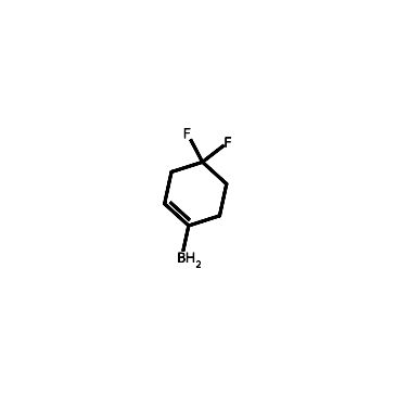 BC1=CCC(F)(F)CC1